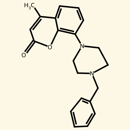 Cc1cc(=O)oc2c(N3CCN(Cc4ccccc4)CC3)cccc12